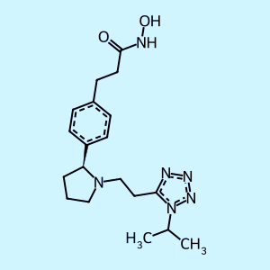 CC(C)n1nnnc1CCN1CCC[C@H]1c1ccc(CCC(=O)NO)cc1